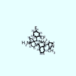 Cn1nccc1-c1nnc(N2CCC(N)(I)C2(CI)Cc2ccc(F)cc2C(F)(F)F)c2ccccc12